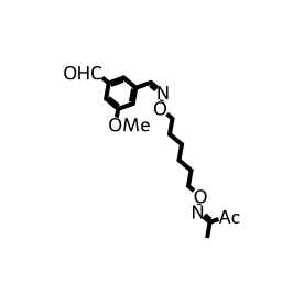 COc1cc(C=O)cc(/C=N\OCCCCCCO/N=C(/C)C(C)=O)c1